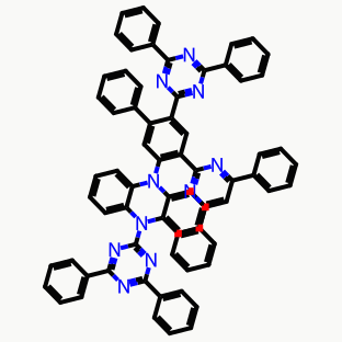 c1ccc(-c2cc(-c3ccccc3)nc(-c3cc(-c4nc(-c5ccccc5)nc(-c5ccccc5)n4)c(-c4ccccc4)cc3N3c4ccccc4N(c4nc(-c5ccccc5)nc(-c5ccccc5)n4)c4ccccc43)n2)cc1